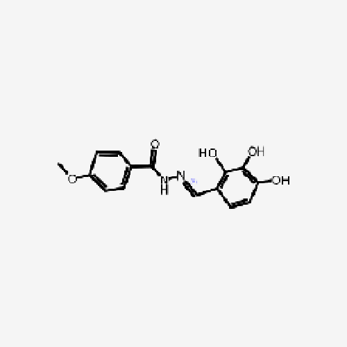 COc1ccc(C(=O)N/N=C/c2ccc(O)c(O)c2O)cc1